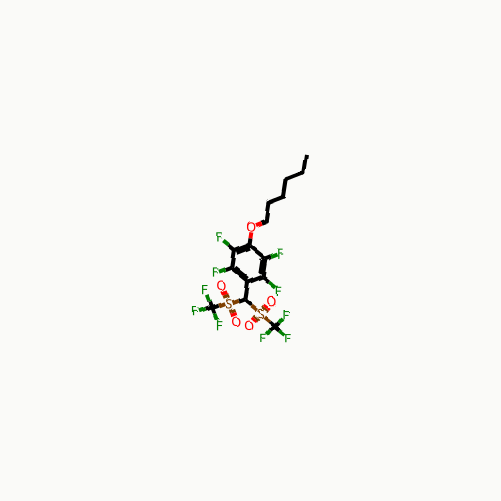 CCCCCCOc1c(F)c(F)c(C(S(=O)(=O)C(F)(F)F)S(=O)(=O)C(F)(F)F)c(F)c1F